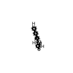 O=C1CC[C@@H](NC(=O)c2ccc(N3CCN(C4CCNCC4)CC3)cn2)C(=O)N1